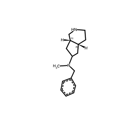 CN(Cc1ccccc1)C1C[C@H]2CCNC[C@H]2C1